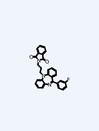 O=C1c2ccccc2C(=O)N1CCCN1c2ccccc2N=C(c2cccc(F)c2)c2ccccc21